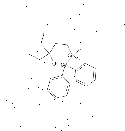 CCC1(CC)C[CH2][Ge]([CH3])([CH3])[Ge]([c]2ccccc2)([c]2ccccc2)[O]1